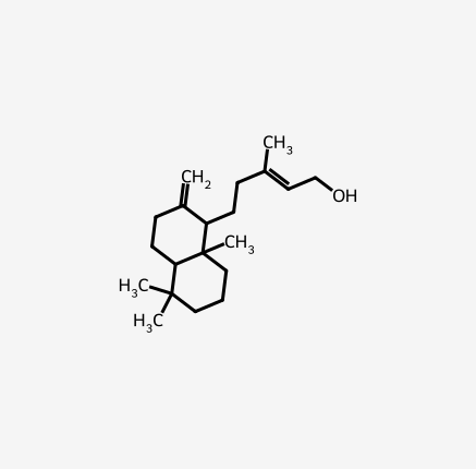 C=C1CCC2C(C)(C)CCCC2(C)C1CCC(C)=CCO